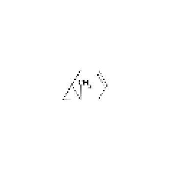 CC12CC=CC3C1C32